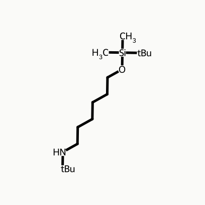 CC(C)(C)NCCCCCCO[Si](C)(C)C(C)(C)C